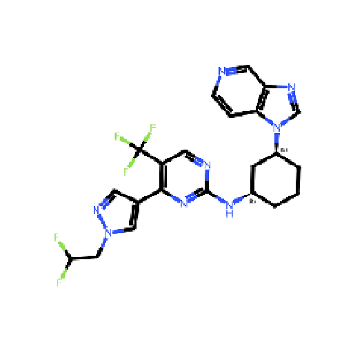 FC(F)Cn1cc(-c2nc(N[C@@H]3CCC[C@H](n4cnc5cnccc54)C3)ncc2C(F)(F)F)cn1